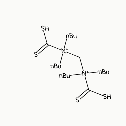 CCCC[N+](CCCC)(C[N+](CCCC)(CCCC)C(=S)S)C(=S)S